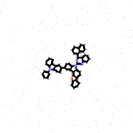 c1ccc(-n2c3ccccc3c3cc(-c4ccc5c(c4)c4c6oc7ccccc7c6ccc4n5-c4nc(-c5cccc6ccccc56)c5ccccc5n4)ccc32)cc1